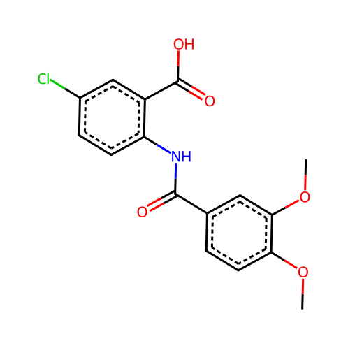 COc1ccc(C(=O)Nc2ccc(Cl)cc2C(=O)O)cc1OC